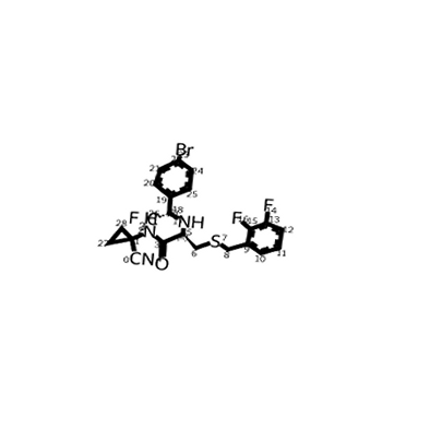 N#CC1(NC(=O)[C@H](CSCc2cccc(F)c2F)N[C@@H](c2ccc(Br)cc2)C(F)(F)F)CC1